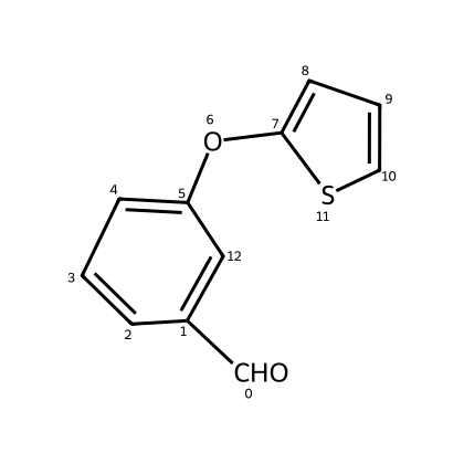 O=Cc1cccc(Oc2cccs2)c1